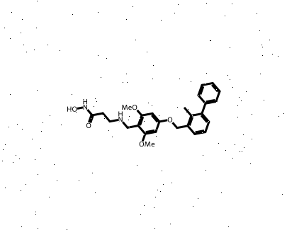 COc1cc(OCc2cccc(-c3ccccc3)c2C)cc(OC)c1CNCCC(=O)NO